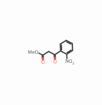 COC(=O)CC(=O)c1ccccc1[N+](=O)[O-]